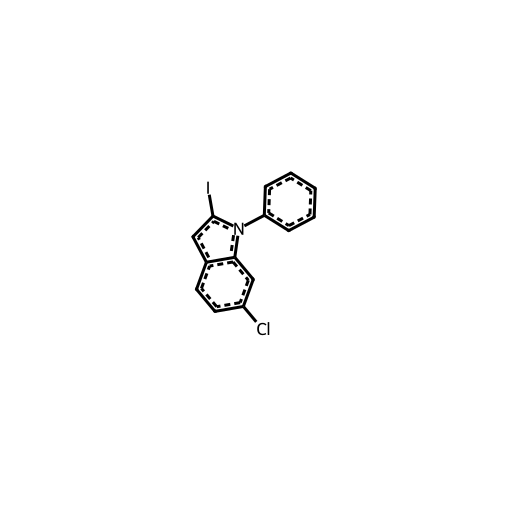 Clc1ccc2cc(I)n(-c3ccccc3)c2c1